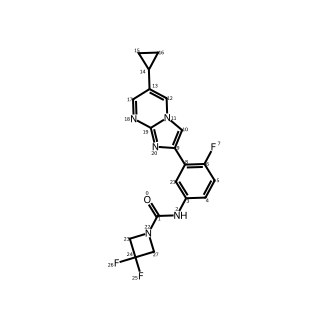 O=C(Nc1ccc(F)c(-c2cn3cc(C4CC4)cnc3n2)c1)N1CC(F)(F)C1